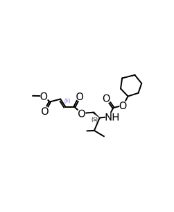 COC(=O)/C=C/C(=O)OC[C@@H](NC(=O)OC1CCCCC1)C(C)C